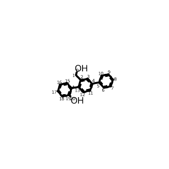 OCc1cc(-c2ccccc2)ccc1-c1ccccc1O